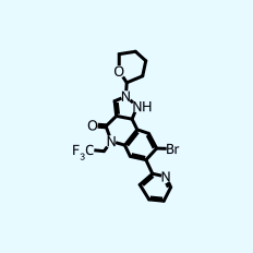 O=C1C2=CN(C3CCCCO3)NC2c2cc(Br)c(-c3ccccn3)cc2N1CC(F)(F)F